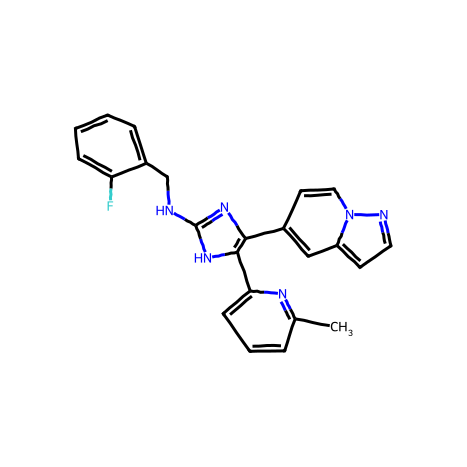 Cc1cccc(-c2[nH]c(NCc3ccccc3F)nc2-c2ccn3nccc3c2)n1